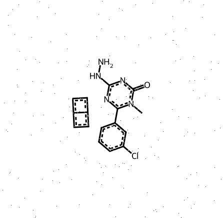 Cn1c(-c2cccc(Cl)c2)nc(NN)nc1=O.c1cc2ccc1-2